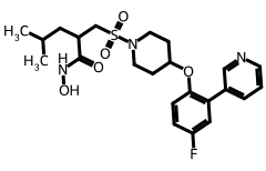 CC(C)CC(CS(=O)(=O)N1CCC(Oc2ccc(F)cc2-c2cccnc2)CC1)C(=O)NO